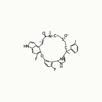 Cc1cccc(C2(C)CC[S+]([O-])CCN(C)C(=O)/C=C/c3c(c(F)cc4[nH]ccc34)Oc3ccc(F)c(c3)C3NC=C2N3)c1